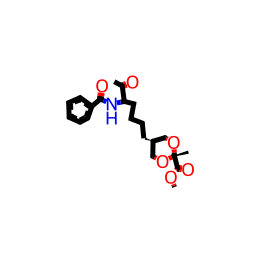 COC(=O)[C@]1(C)OC[C@H](CCCCC(NC(=O)c2ccccc2)C(C)=O)CO1